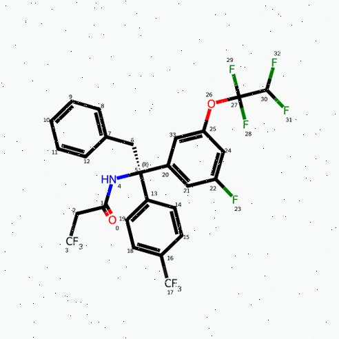 O=C(CC(F)(F)F)N[C@](Cc1ccccc1)(c1ccc(C(F)(F)F)cc1)c1cc(F)cc(OC(F)(F)C(F)F)c1